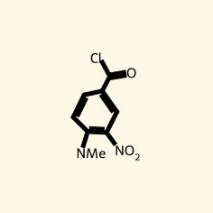 CNc1ccc(C(=O)Cl)cc1[N+](=O)[O-]